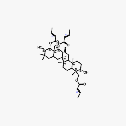 C=CCC1[C@@]2(C)CC[C@H](O)[C@](C)(COC(=O)/C=C/C)C2CC[C@@]1(C)[C@@]1(C)CC2CC(C)(C)[C@@H](O)[C@H](OC(=O)/C=C/C)[C@]2(CO)[C@H](OC(=O)/C=C/C)C1